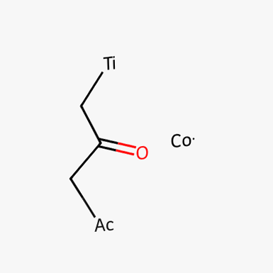 CC(=O)CC(=O)[CH2][Ti].[Co]